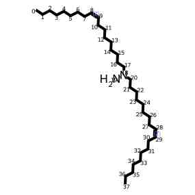 CCCCCCCC/C=C\CCCCCCCCN(N)CCCCCCCC/C=C\CCCCCCCC